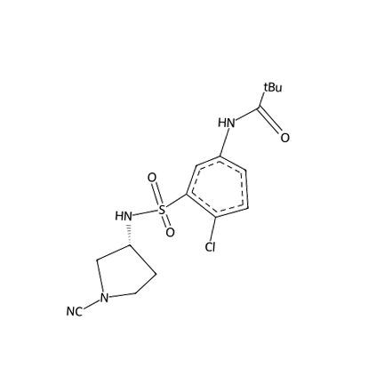 CC(C)(C)C(=O)Nc1ccc(Cl)c(S(=O)(=O)N[C@@H]2CCN(C#N)C2)c1